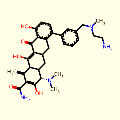 C=C1C(C(N)=O)=C(O)[C@@H](N(C)C)C2CC3Cc4c(-c5cccc(CN(C)CCN)c5)ccc(O)c4C(=O)C3=C(O)C12